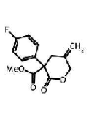 C=C1COC(=O)C(C(=O)OC)(c2ccc(F)cc2)C1